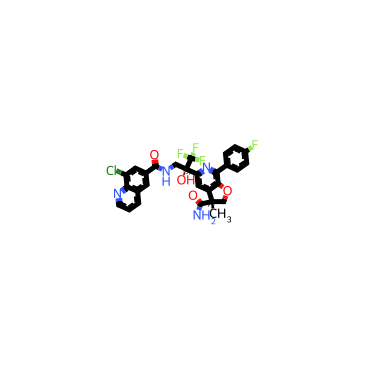 C[C@]1(C(N)=O)COc2c1cc([C@@](O)(CNC(=O)c1cc(Cl)c3ncccc3c1)C(F)(F)F)nc2-c1ccc(F)cc1